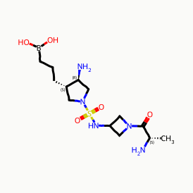 C[C@H](N)C(=O)N1CC(NS(=O)(=O)N2C[C@H](CCCB(O)O)[C@@H](N)C2)C1